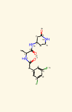 C[C@H](NC(=O)Cc1cc(F)cc(F)c1)C(=O)NC1CCNC(=O)C1